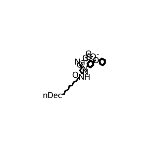 CCCCCCCCCCCCCCCCCC(=O)NC1=NN(c2ccc(Oc3ccccc3)c(S(=O)(=O)[O-])c2)C(=O)C1.[Na+]